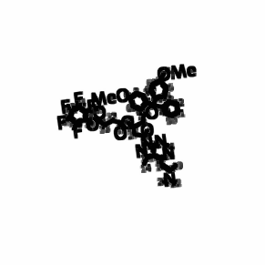 COc1ccc(C(OCC2OC(n3nc(C)c4c(/C=C(\C)N(C)C)ncnc43)CC2OC(=O)CCC(=O)Oc2c(F)c(F)c(F)c(F)c2F)(c2ccccc2)c2ccc(OC)cc2)cc1